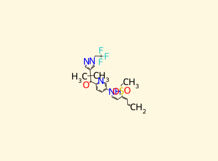 C=C/C=C(\C=C/Nc1ccc(C(=O)C(C)(C)c2cnn(CC(F)(F)F)c2)nc1)S(=O)(=O)CC